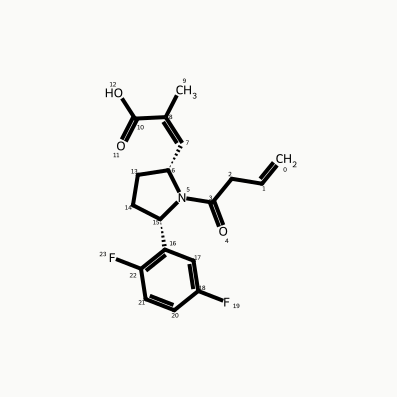 C=CCC(=O)N1[C@@H](C=C(C)C(=O)O)CC[C@H]1c1cc(F)ccc1F